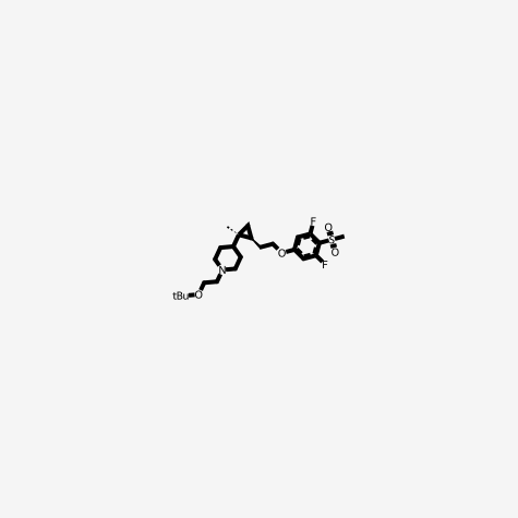 CC(C)(C)OCCN1CCC([C@@]2(C)C[C@H]2CCOc2cc(F)c(S(C)(=O)=O)c(F)c2)CC1